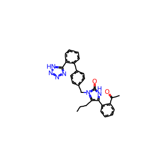 CCCc1c(-c2ccccc2C(C)=O)[nH]c(=O)n1Cc1ccc(-c2ccccc2-c2nnn[nH]2)cc1